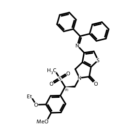 CCOc1cc([C@H](CN2Cc3c(N=C(c4ccccc4)c4ccccc4)csc3C2=O)S(C)(=O)=O)ccc1OC